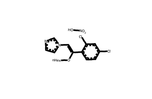 CCCCCCOC(=Cn1ccnc1)c1ccc(Cl)cc1Cl.O=[N+]([O-])O